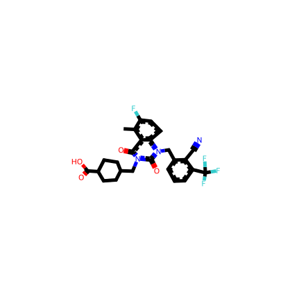 Cc1c(F)ccc2c1c(=O)n(CC1CCC(C(=O)O)CC1)c(=O)n2Cc1cccc(C(F)(F)F)c1C#N